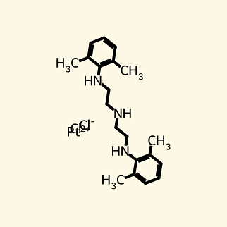 Cc1cccc(C)c1NCCNCCNc1c(C)cccc1C.[Cl-].[Cl-].[Pt+2]